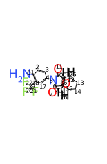 Nc1ccc(N2C(=O)[C@@H]3[C@H](C2=O)[C@H]2CC[C@@H]3O2)cc1C(F)(F)F